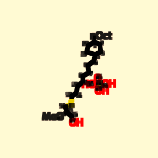 CCCCCCCCC1CCC(CCCCCCCCSCC(CO)OC)CC1.O=P(O)(O)O